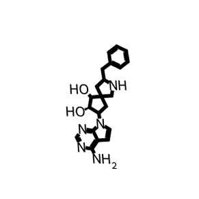 Nc1ncnc2c1ccn2C1CC2(CNC(Cc3ccccc3)C2)C(O)[C@@H]1O